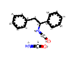 N=C=O.O=C=NC(Cc1ccccc1)c1ccccc1